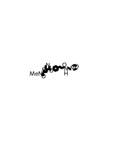 CNC(=O)c1cc2c(Oc3ccc(/C=C/C(=O)NCCN4CCOCC4)cc3)cncc2s1